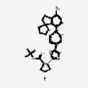 CC(C)(C)OC(=O)N1C[C@@H](F)C[C@H]1c1nc(-c2ccc(-c3ccc(O)c4c3C3(CCCC3)CC4)cc2)c[nH]1